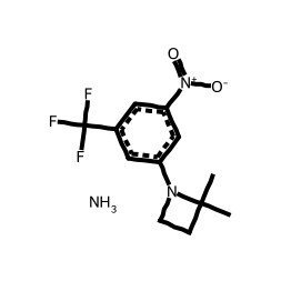 CC1(C)CCN1c1cc([N+](=O)[O-])cc(C(F)(F)F)c1.N